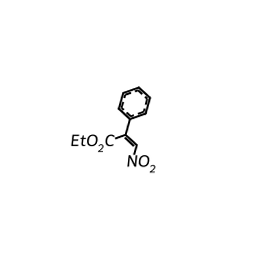 CCOC(=O)C(=C[N+](=O)[O-])c1ccccc1